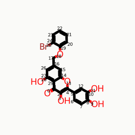 O=c1c(O)c(-c2ccc(O)c(O)c2)oc2cc(COc3ccccc3Br)cc(O)c12